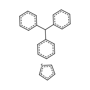 c1ccc(C(c2ccccc2)c2ccccc2)cc1.c1ccsc1